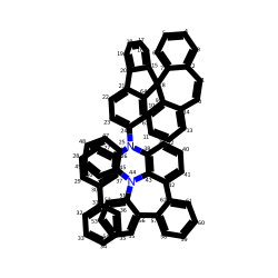 C1=Cc2ccccc2C2(c3ccccc31)c1ccccc1-c1ccc(N(c3cccc(-c4ccccc4)c3)c3cccc4c3N(c3ccccc3)c3ccccc3-c3ccccc3-4)cc12